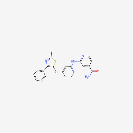 Cc1nc(-c2ccccc2)c(Oc2ccnc(Nc3cc(C(N)=O)ccn3)c2)s1